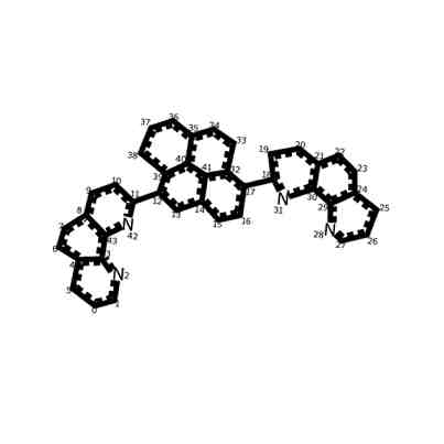 c1cnc2c(c1)ccc1ccc(-c3cc4ccc(-c5ccc6ccc7cccnc7c6n5)c5ccc6cccc3c6c45)nc12